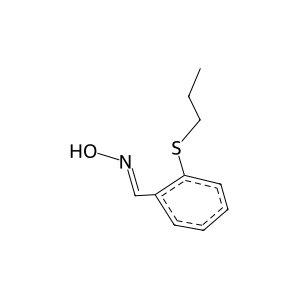 CCCSc1ccccc1C=NO